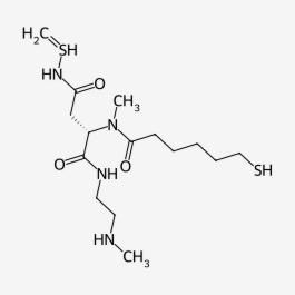 C=[SH]NC(=O)C[C@@H](C(=O)NCCNC)N(C)C(=O)CCCCCS